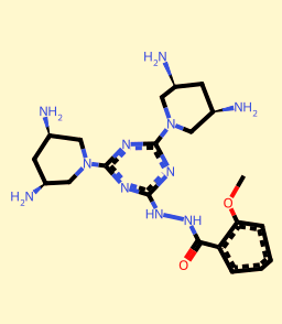 COc1ccccc1C(=O)NNc1nc(N2C[C@H](N)C[C@H](N)C2)nc(N2C[C@H](N)C[C@H](N)C2)n1